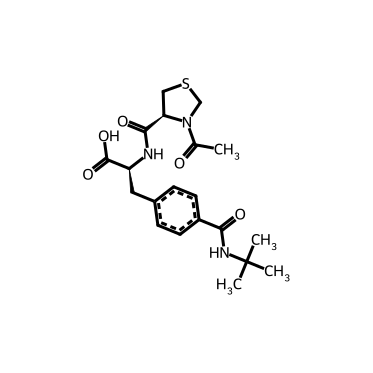 CC(=O)N1CSC[C@@H]1C(=O)N[C@@H](Cc1ccc(C(=O)NC(C)(C)C)cc1)C(=O)O